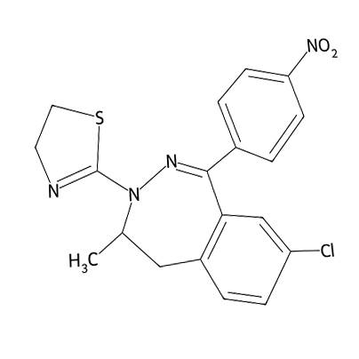 CC1Cc2ccc(Cl)cc2C(c2ccc([N+](=O)[O-])cc2)=NN1C1=NCCS1